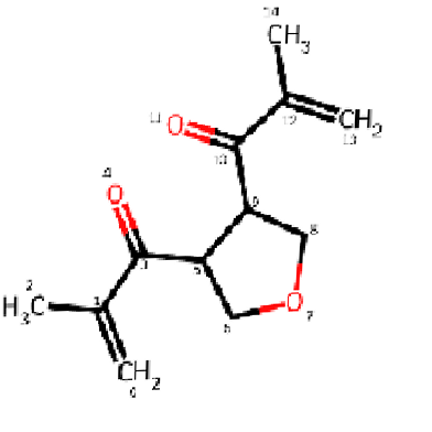 C=C(C)C(=O)C1COCC1C(=O)C(=C)C